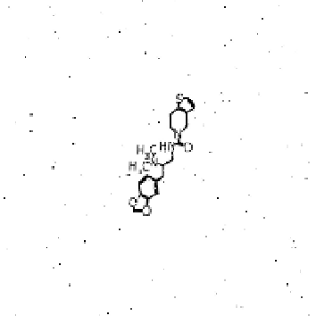 CN(C)C(CNC(=O)N1CCc2sccc2C1)Cc1ccc2c(c1)OCO2